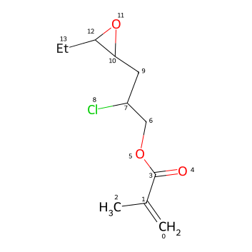 C=C(C)C(=O)OCC(Cl)CC1OC1CC